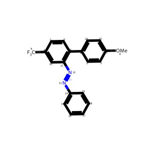 COc1ccc(-c2ccc(C(F)(F)F)cc2/N=N/c2ccccc2)cc1